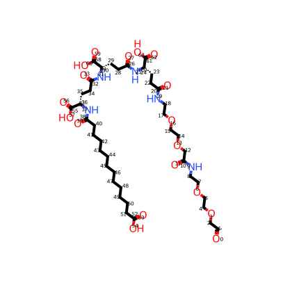 O=[C]COCCOCCNC(=O)COCCOCCNC(=O)CC[C@H](NC(=O)CC[C@H](NC(=O)CC[C@H](NC(=O)CCCCCCCCCCCCC(=O)O)C(=O)O)C(=O)O)C(=O)O